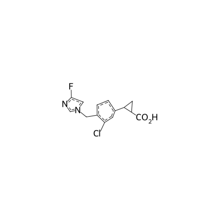 O=C(O)C1CC1c1ccc(Cn2cnc(F)c2)c(Cl)c1